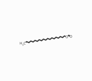 CCCCCCCCCCCCCCCCCCCCOC=O